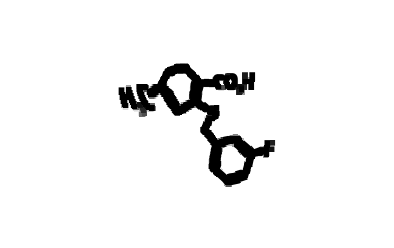 Cc1ccc(C(=O)O)c(SCc2cccc(F)c2)c1